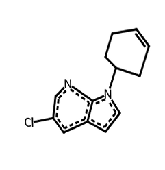 Clc1cnc2c(ccn2C2CC=CCC2)c1